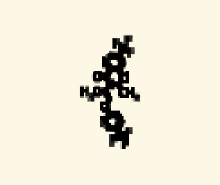 CCN(C(=O)c1ncc(C(F)(F)F)cc1Cl)[C@@H](C)COc1ccc(C(F)(F)F)cn1